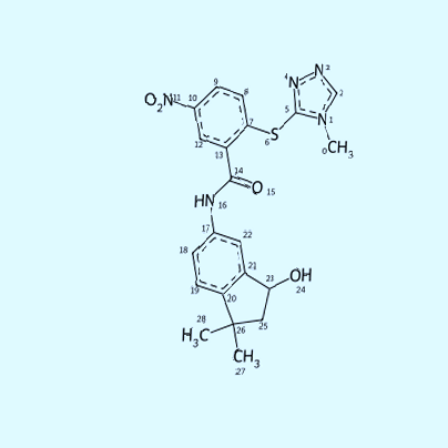 Cn1cnnc1Sc1ccc([N+](=O)[O-])cc1C(=O)Nc1ccc2c(c1)C(O)CC2(C)C